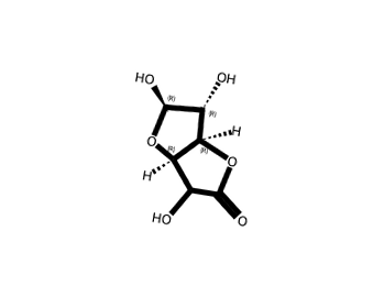 O=C1O[C@@H]2[C@@H](O)[C@H](O)O[C@@H]2C1O